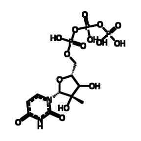 C[C@]1(O)C(O)[C@@H](COP(=O)(O)OP(=O)(O)OP(=O)(O)O)O[C@H]1n1ccc(=O)[nH]c1=O